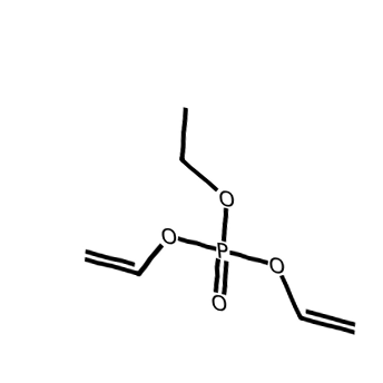 C=COP(=O)(OC=C)OCC